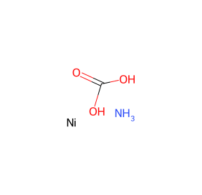 N.O=C(O)O.[Ni]